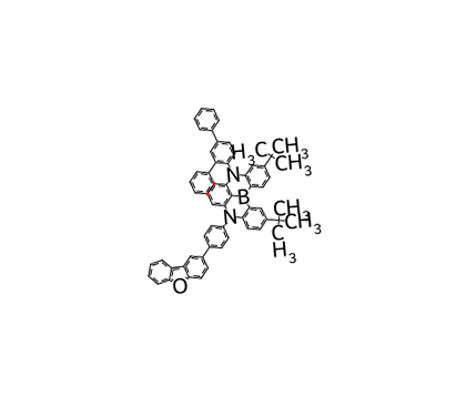 CC(C)(C)c1ccc2c(c1)B1c3ccc(C(C)(C)C)cc3N(c3ccc(-c4ccccc4)cc3-c3ccccc3)c3cccc(c31)N2c1ccc(-c2ccc3oc4ccccc4c3c2)cc1